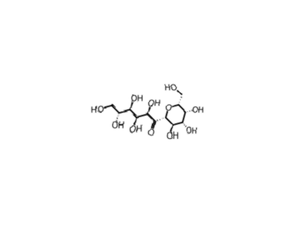 O=C([C@H](O)[C@@H](O)[C@H](O)[C@H](O)CO)[C@@H]1O[C@H](CO)[C@H](O)[C@H](O)[C@H]1O